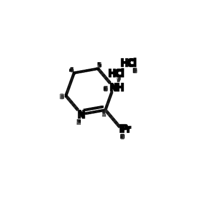 CC(C)C1=NCCCN1.Cl.Cl